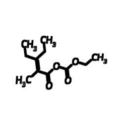 CCOC(=O)OC(=O)C(C)=C(CC)CC